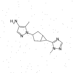 Cc1c(N)cnn1C1CC2C(C1)C2c1ncnn1C